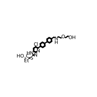 CCC(Sc1nc2nc(-c3ccc(-c4ccc(CNCCOCCO)cc4)cc3)c(Cl)cc2[nH]1)C(=O)O